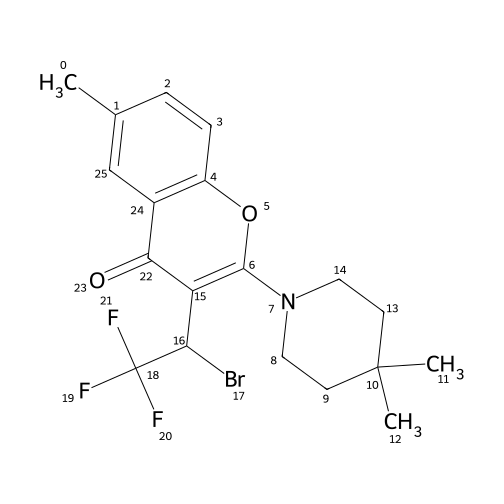 Cc1ccc2oc(N3CCC(C)(C)CC3)c(C(Br)C(F)(F)F)c(=O)c2c1